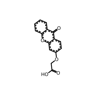 O=C(O)COc1ccc2c(=O)c3ccccc3oc2c1